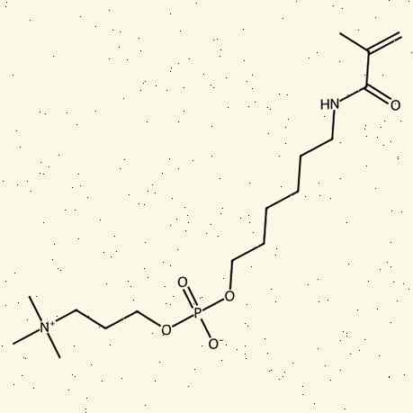 C=C(C)C(=O)NCCCCCCOP(=O)([O-])OCCC[N+](C)(C)C